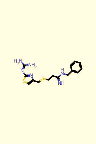 N=C(CCSCc1csc(N=C(N)N)n1)NCc1ccccc1